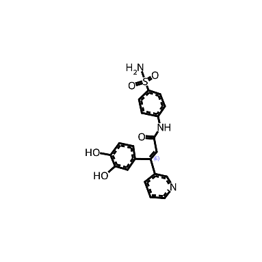 NS(=O)(=O)c1ccc(NC(=O)/C=C(/c2cccnc2)c2ccc(O)c(O)c2)cc1